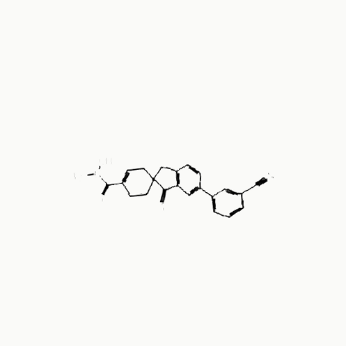 CN(C)C(=O)C1=CCC2(CC1)Cc1ccc(-c3cccc(C#N)c3)cc1C2=O